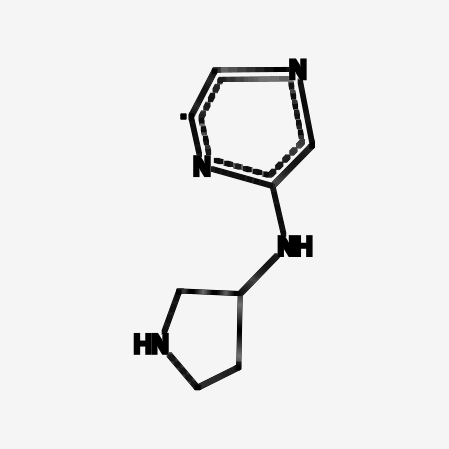 [c]1cncc(NC2CCNC2)n1